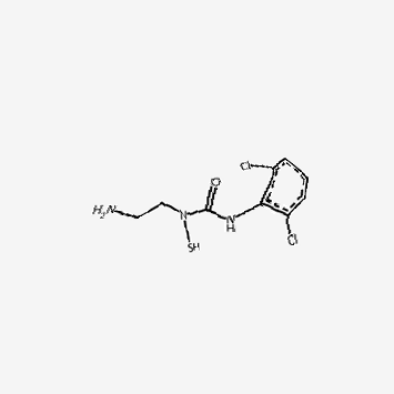 NCCN(S)C(=O)Nc1c(Cl)cccc1Cl